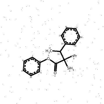 CCCC([SiH3])(C(=O)Oc1ccccc1)C(C)c1ccccc1